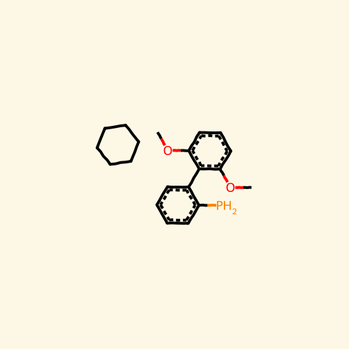 C1CCCCC1.COc1cccc(OC)c1-c1ccccc1P